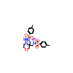 Cc1ccc(S(=O)(=O)NCC2(CNS(=O)(=O)c3ccc(C)cc3)COCCN2)cc1